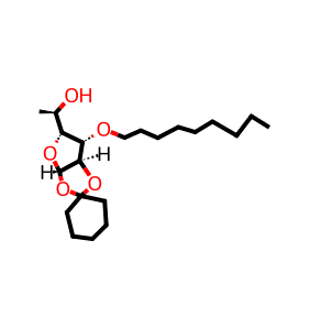 CCCCCCCCCO[C@@H]1[C@H]2OC3(CCCCC3)O[C@H]2O[C@@H]1[C@@H](C)O